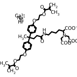 C=C(C)C(=O)OCCOc1ccc(C(C)(CCC(=O)NCCCCC(C(=O)[O-])N(CC(=O)[O-])CC(=O)[O-])c2ccc(OCCOC(=O)C(=C)C)cc2)cc1.F.[F-].[Ga+3].[Na+]